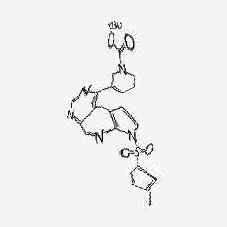 Cc1ccc(S(=O)(=O)n2ccc3c4c(C5=CCCN(C(=O)OC(C)(C)C)C5)ncnc4cnc32)cc1